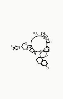 C[C@@H]1[C@@H](C)CCC[C@@H]([C@H]2OC[C@@H](N3CC(F)(F)C3)CO2)[C@@H]2CC[C@H]2CN2C[C@@]3(CCCc4cc(Cl)ccc43)COc3ccc(cc32)C(=O)NS1(=O)=O